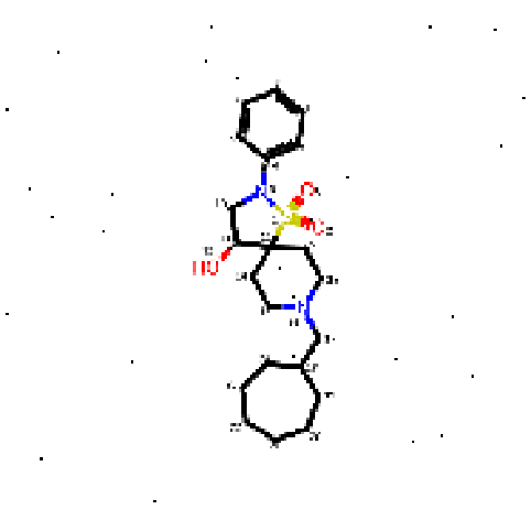 O=S1(=O)N(c2ccccc2)C[C@H](O)C12CCN(CC1CCCCCC1)CC2